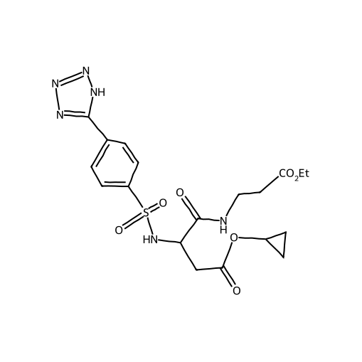 CCOC(=O)CCNC(=O)C(CC(=O)OC1CC1)NS(=O)(=O)c1ccc(-c2nnn[nH]2)cc1